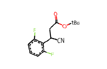 CC(C)(C)OC(=O)CC(C#N)c1c(F)cccc1F